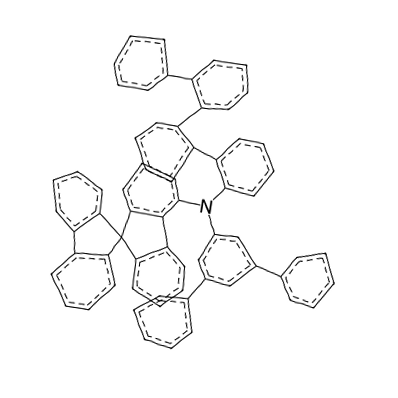 c1ccc(-c2cc(-c3ccccc3)cc(N(c3ccccc3-c3ccccc3-c3ccccc3-c3ccccc3)c3cccc4c3-c3ccccc3C43c4ccccc4-c4ccccc43)c2)cc1